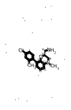 Cc1cc(Cl)ccc1-c1cccc2c1O[C@@H](CN)CN2C